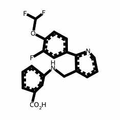 O=C(O)c1cccc(NCc2cccnc2-c2ccc(OC(F)F)c(F)c2)c1